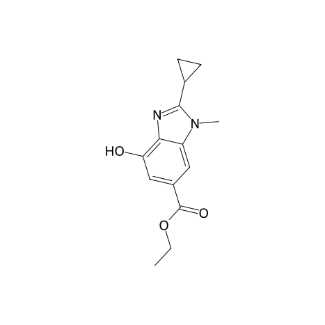 CCOC(=O)c1cc(O)c2nc(C3CC3)n(C)c2c1